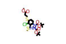 COC(=O)CCSc1ccc(N(NC(=O)OC(C)(C)C)C(=O)OC(C)(C)C)c(CSC)c1Cl